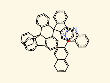 C1=CCC2C=CC(c3nc(-c4ccccc4C4(c5ccccc5)c5ccccc5C5(C6C=CC=CC6)c6ccccc6-c6cccc4c65)nc4ccccc34)=CC2=C1